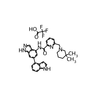 CC1(C)CCCN(Cc2cccc(C(=O)Nc3cc(-c4cccc5[nH]ccc45)cc4[nH]ncc34)n2)C1.O=C(O)C(F)(F)F